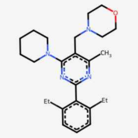 CCc1cccc(CC)c1-c1nc(C)c(CN2CCOCC2)c(N2CCCCC2)n1